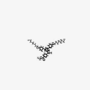 CCCCCCCCOc1ccc(-c2nc(Nc3ccc(C(=O)OCC)cc3)nc(-c3ccc(OCCCCCCCC)cc3)n2)cc1